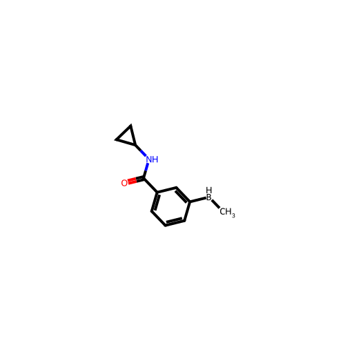 CBc1cccc(C(=O)NC2CC2)c1